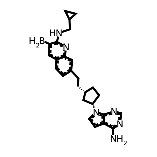 Bc1cc2ccc(CC[C@@H]3CC[C@H](n4ccc5c(N)ncnc54)C3)cc2nc1NCC1CC1